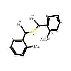 CC(=O)Oc1ccccc1C(SC(c1ccccc1OC(C)=O)C(C)C)C(C)C